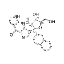 O=c1c2ncn([C@]3(c4ccc5ccccc5c4)O[C@H](CO)[C@@H](O)[C@H]3O)c2nc2[nH]ccn12